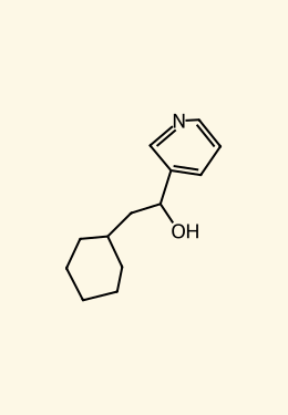 OC(CC1CCCCC1)c1cccnc1